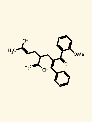 C=C(C)C(CC=C(C)C)CC(=Cc1ccccc1)C(=O)c1ccccc1OC